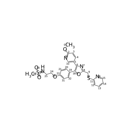 COc1ccc(-c2nc(CSc3ccccn3)oc2-c2ccc(OCCNS(C)(=O)=O)cc2)cn1